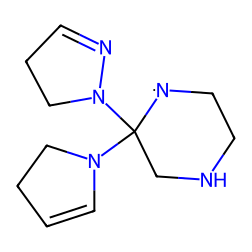 C1=CN(C2(N3CCC=N3)CNCC[N]2)CC1